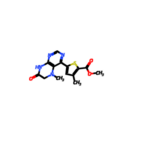 COC(=O)c1sc(-c2ncnc3c2N(C)CC(=O)N3)cc1C